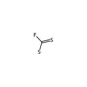 FC([S])=S